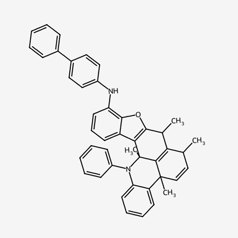 CC1C=CC2(C)C3=C1C(C)c1oc4c(Nc5ccc(-c6ccccc6)cc5)cccc4c1C3(C)N(c1ccccc1)c1ccccc12